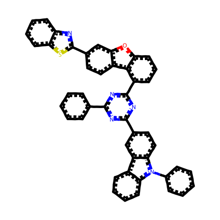 c1ccc(-c2nc(-c3ccc4c(c3)c3ccccc3n4-c3ccccc3)nc(-c3cccc4oc5cc(-c6nc7ccccc7s6)ccc5c34)n2)cc1